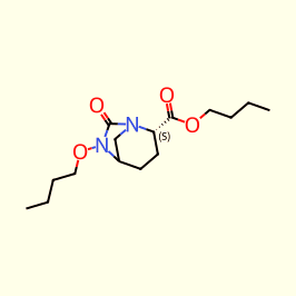 CCCCOC(=O)[C@@H]1CCC2CN1C(=O)N2OCCCC